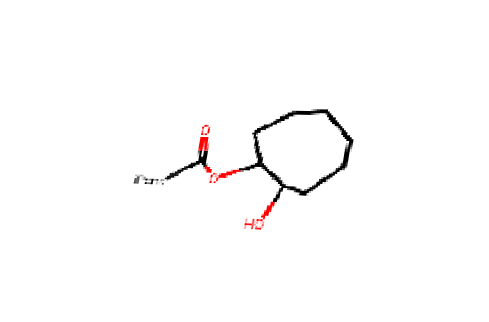 CCCC(C)C(=O)OC1CCCCCCC1O